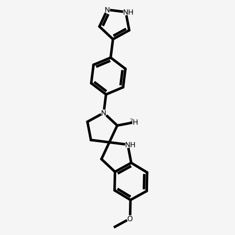 [2H]C1N(c2ccc(-c3cn[nH]c3)cc2)CCC12Cc1cc(OC)ccc1N2